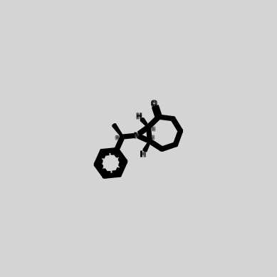 C[C@H](c1ccccc1)N1[C@@H]2C(=O)CCCC[C@@H]21